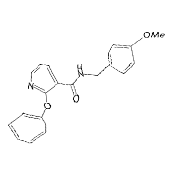 COc1ccc(CNC(=O)c2cccnc2Oc2ccccc2)cc1